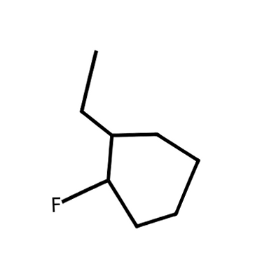 CCC1CCCCC1F